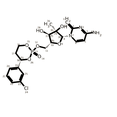 C=C1N=C(N)C=CN1[C@@H]1O[C@H](COP2(=O)OCC[C@@H](c3cccc(Cl)c3)O2)[C@@H](O)[C@@]1(C)O